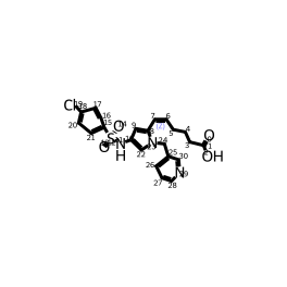 O=C(O)CCC/C=C\c1cc(NS(=O)(=O)c2ccc(Cl)cc2)cn1Cc1cccnc1